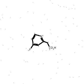 O=C(O)Cc1cc(F)ccn1